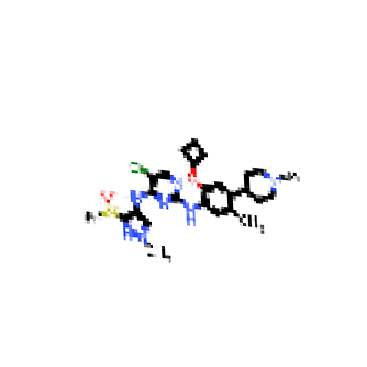 Cc1cc(Nc2ncc(Cl)c(Nc3cn(C)nc3[S+]([O-])C(C)C)n2)c(OC2CCC2)cc1C1CCN(C(C)C)CC1